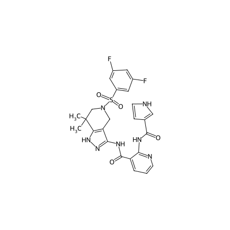 CC1(C)CN(S(=O)(=O)c2cc(F)cc(F)c2)Cc2c(NC(=O)c3cccnc3NC(=O)c3cc[nH]c3)n[nH]c21